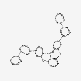 O=P12c3ccc(-c4cccc(-c5ccccn5)c4)cc3Oc3cccc(c31)Oc1cc(-c3cccc(-c4ccccn4)c3)ccc12